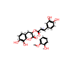 COc1ccccc1O.O=C(/C=C/c1ccc(O)c(O)c1)OC(Cc1ccc(O)c(O)c1)C(=O)O